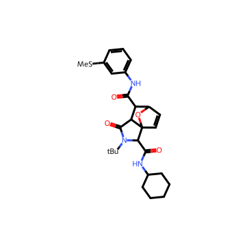 CSc1cccc(NC(=O)C2C3C=CC4(O3)C2C(=O)N(C(C)(C)C)C4C(=O)NC2CCCCC2)c1